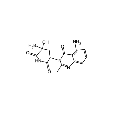 BC1(O)CC(n2c(C)nc3cccc(N)c3c2=O)C(=O)NC1=O